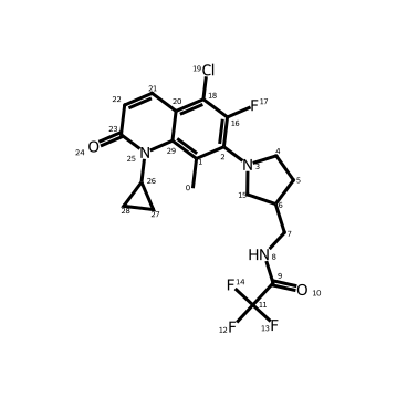 Cc1c(N2CCC(CNC(=O)C(F)(F)F)C2)c(F)c(Cl)c2ccc(=O)n(C3CC3)c12